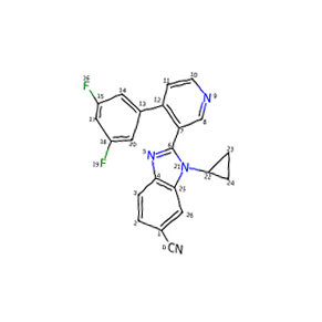 N#Cc1ccc2nc(-c3cnccc3-c3cc(F)cc(F)c3)n(C3CC3)c2c1